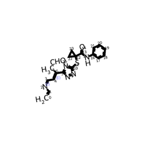 C=C/N=C\C=C(/C)c1nnc(SC2(C(=O)Nc3ccccc3)CC2)n1C=O